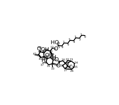 CCCCCCCCCC(O)OCC1=C[C@H]2[C@H](OC(=O)CC34CC5CC6CC(C3)C4(C6)C5)C(C)(C)C[C@@H](C)[C@]2(O)[C@@H]2C=C(C)C(=O)[C@@]2(O)C1